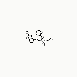 CCCCC(C)(F)C(/C=C/C1CCC2OC(=O)CC12)OC1CCCCO1